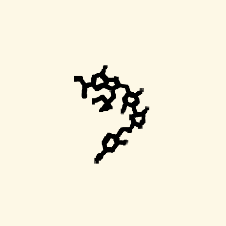 N#Cc1ccc(COc2ncc(F)c(-c3cc(F)c(Cc4nc5c(F)cc(C(=O)O)cc5n4CC4(CF)CC4)cc3F)n2)c(F)c1